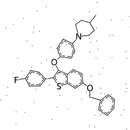 CC1CCN(c2ccc(Oc3c(-c4ccc(F)cc4)sc4cc(OCc5ccccc5)ccc34)cc2)CC1